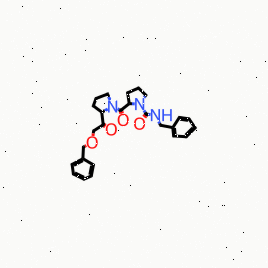 O=C(COCc1ccccc1)C1CCCN1C(=O)C1CCCN1C(=O)NCc1ccccc1